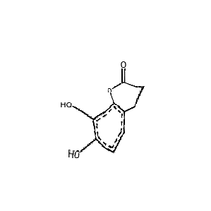 O=C1CCc2ccc(O)c(O)c2O1